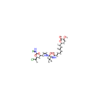 COC1=CCC(C(C)/C=C(C)/C=C\C=C\C(=O)NC(C(=O)N/C=C\CC(C/C=C(\C)Cl)OC(=O)NF)C(C)(C)C)OC1=O